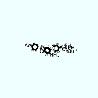 CC(=O)[C@H]1CC[C@H](c2nc3cc(N4CCC(CO[Si](C)(C)C(C)(C)C)CC4)c(N)cc3o2)CC1